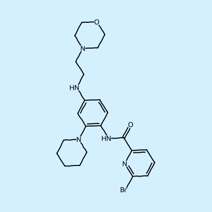 O=C(Nc1ccc(NCCN2CCOCC2)cc1N1CCCCC1)c1cccc(Br)n1